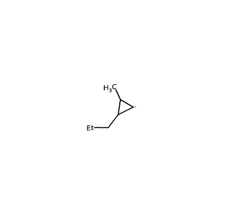 CCCC1[CH]C1C